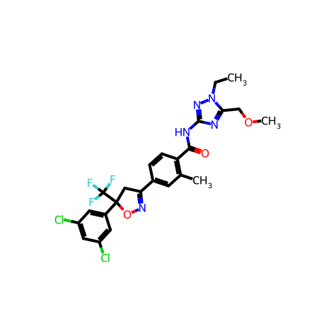 CCn1nc(NC(=O)c2ccc(C3=NOC(c4cc(Cl)cc(Cl)c4)(C(F)(F)F)C3)cc2C)nc1COC